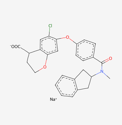 CN(C(=O)c1ccc(Oc2cc3c(cc2Cl)C(C(=O)[O-])CCO3)cc1)C1Cc2ccccc2C1.[Na+]